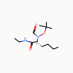 CCCC[C@H](C(=O)NCC)N(C=O)OC(C)(C)C